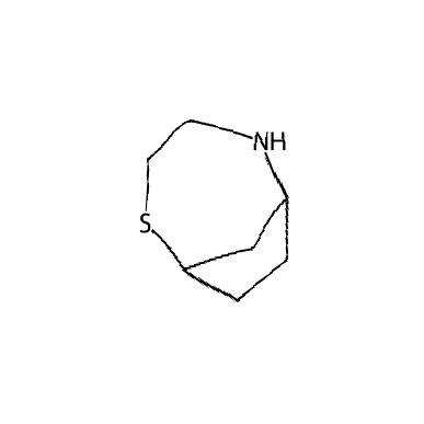 C1CSC2CCC(C2)N1